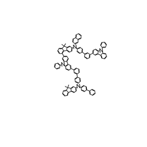 CC1(C)c2ccccc2-c2ccc(N(c3ccc(-c4ccccc4)cc3)c3ccc(-c4cccc(-c5ccc6c(c5)c5ccc(-c7cccc8c7-c7ccc(N(c9ccc(-c%10cccc(-c%11ccc%12c(c%11)c%11ccccc%11n%12-c%11ccccc%11)c%10)cc9)c9ccc%10ccccc%10c9)cc7C8(C)C)cc5n6-c5ccccc5)c4)cc3)cc21